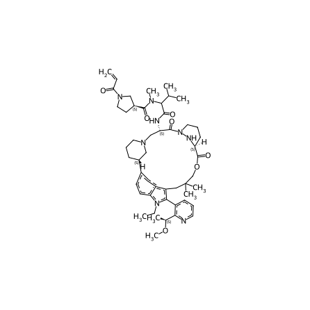 C=CC(=O)N1CC[C@H](C(=O)N(C)C(C(=O)N[C@H]2CN3CCC[C@H](C3)c3ccc4c(c3)c(c(-c3cccnc3[C@H](C)OC)n4CC)CC(C)(C)COC(=O)[C@@H]3CCCN(N3)C2=O)C(C)C)C1